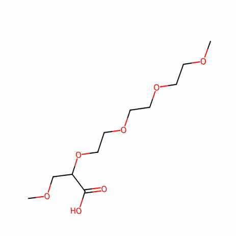 COCCOCCOCCOC(COC)C(=O)O